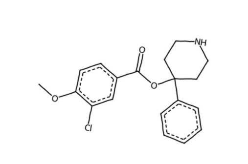 COc1ccc(C(=O)OC2(c3ccccc3)CCNCC2)cc1Cl